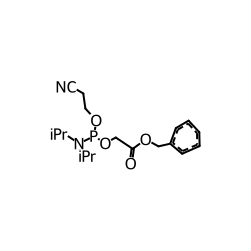 CC(C)N(C(C)C)P(OCCC#N)OCC(=O)OCc1ccccc1